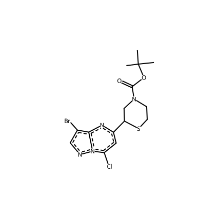 CC(C)(C)OC(=O)N1CCSC(c2cc(Cl)n3ncc(Br)c3n2)C1